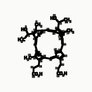 CC1=C(C(C)O)c2cc3[nH]c(cc4nc(cc5[nH]c(cc1n2)c(C(C)O)c5C)C=C4CCC(=O)O)c(CCC(=O)O)c3C